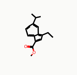 CCc1cc(C(=O)OC)c2cccc(C(C)C)cc1-2